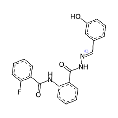 O=C(Nc1ccccc1C(=O)N/N=C/c1cccc(O)c1)c1ccccc1F